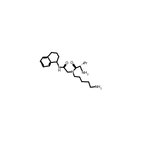 CC(C)[C@H](N)C(=O)N(CCCCCN)CC(=O)NC1CCCc2ccccc21